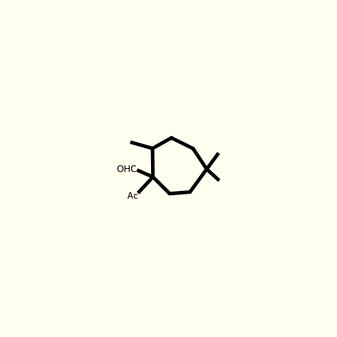 CC(=O)C1(C=O)CCC(C)(C)CCC1C